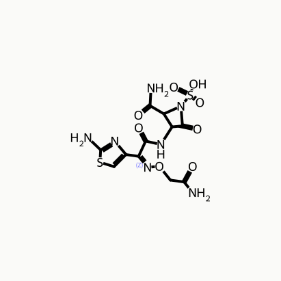 NC(=O)CO/N=C(\C(=O)NC1C(=O)N(S(=O)(=O)O)C1C(N)=O)c1csc(N)n1